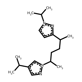 CC(C)c1cnn(C(C)CCC(C)c2ccn(C(C)C)n2)c1